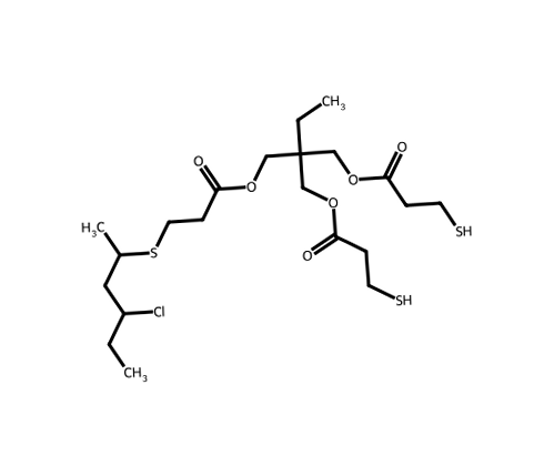 CCC(Cl)CC(C)SCCC(=O)OCC(CC)(COC(=O)CCS)COC(=O)CCS